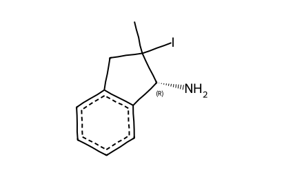 CC1(I)Cc2ccccc2[C@H]1N